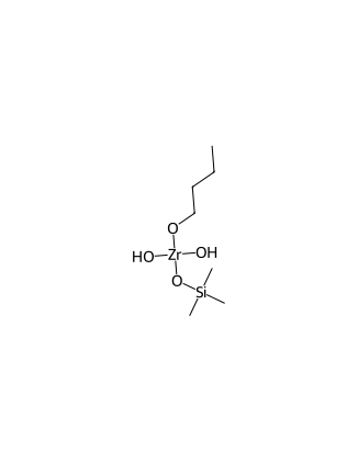 CCCC[O][Zr]([OH])([OH])[O][Si](C)(C)C